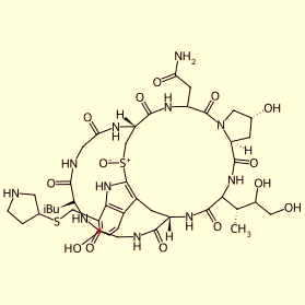 CC[C@H](C)C1NC(=O)CNC(=O)[C@@H]2Cc3c([nH]c4c(CSC5CCNC5)c(O)ccc34)[S+]([O-])C[C@H](NC(=O)CNC1=O)C(=O)NC(CC(N)=O)C(=O)N1C[C@H](O)C[C@H]1C(=O)NC([C@@H](C)C(O)CO)C(=O)N2